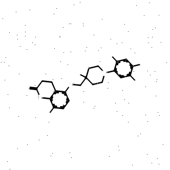 O=C1CCc2c(NCC3(O)CCN(c4cc(F)c(Cl)cc4F)CC3)ccc(F)c2N1